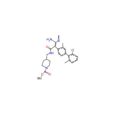 C=N/C(N)=C(/C(=O)NCC1CCN(C(=O)OC(C)(C)C)CC1)c1ccc(-c2c(C)cccc2Cl)cc1C